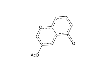 CC(=O)Oc1coc2cccc(=O)c-2c1